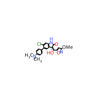 COc1cc(/C(O)=C2\C(=O)Nc3cc(Cl)c(-c4ccc(N(C)C)cc4)cc32)on1